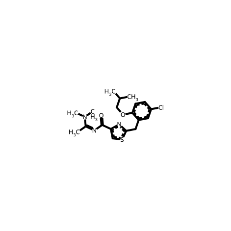 CC(=NC(=O)c1csc(Cc2cc(Cl)ccc2OCC(C)C)n1)N(C)C